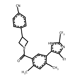 CCc1nc(C(F)(F)F)[nH]c1-c1cc(C(=O)N2CC(c3ccc(C#N)cc3)C2)c(C)cc1C